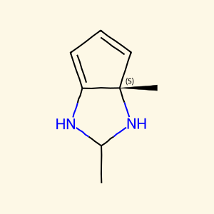 CC1NC2=CC=C[C@]2(C)N1